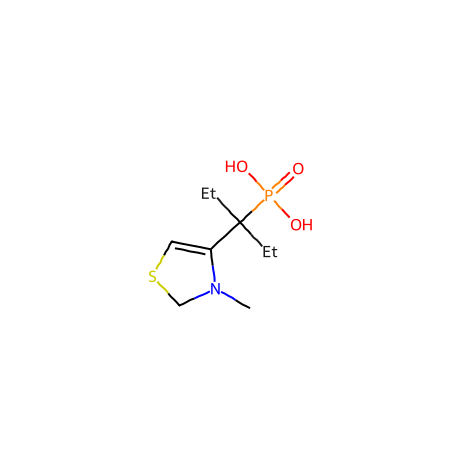 CCC(CC)(C1=CSCN1C)P(=O)(O)O